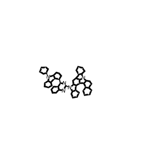 c1ccc(-n2c3ccccc3c3c(-c4nc(-n5c6ccccc6c6c7c8c9ccccc9ccc8n8c9ccccc9c(cc65)c78)nc5ccccc45)cccc32)cc1